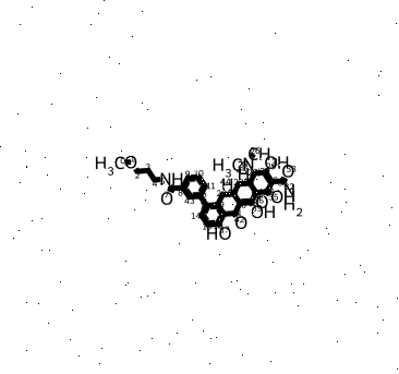 COCCCNC(=O)c1cccc(-c2ccc(O)c3c2C[C@H]2C[C@H]4[C@H](N(C)C)C(O)=C(C(N)=O)C5(O)O[C@]45C(O)=C2C3=O)c1